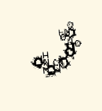 N#Cc1c(CN2CCC(c3ccc4c(c3)CN(C3CCC(=O)NC3=O)C4=O)CC2)ccnc1Nc1ccccc1